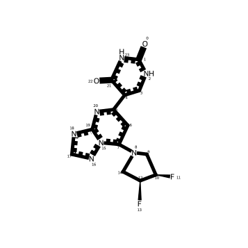 O=c1[nH]cc(-c2cc(N3C[C@@H](F)[C@@H](F)C3)n3ncnc3n2)c(=O)[nH]1